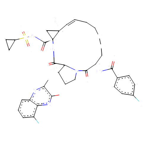 Cc1nc2cccc(F)c2nc1O[C@@H]1C[C@H]2C(=O)N[C@]3(C(=O)NS(=O)(=O)C4CC4)C[C@H]3/C=C\CCCCC[C@H](NC(=O)c3ccc(F)cc3)C(=O)N2C1